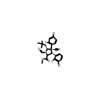 COC(=O)C1[C@H](c2cccc(Cl)c2F)[C@@](C#N)(c2ccc(Cl)cc2F)[C@H](CC(C)(C)C)N1C=O